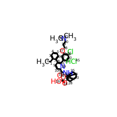 CCc1ccccc1-c1ccc(C(=O)NC2(OC(=O)O)C3CC4CC(C3)CC2C4)nc1-c1ccc(Cl)c(OCCCN(C)C)c1.Cl